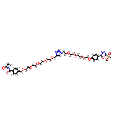 CS(=O)(=O)c1nnc(-c2ccc(OCCOCCOCCOCCn3cc(COCCOCCOCCOCCOCc4ccc(C(=O)N5CCC5=O)cc4)nn3)cc2)o1